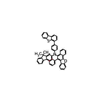 CC1(C)c2ccccc2-c2ccc(N(c3ccc(-c4cccc5c4sc4ccccc45)cc3)c3c(-c4ccccc4)c4c5ccccc5oc4c4ccccc34)cc21